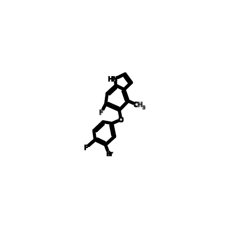 Cc1c(Oc2ccc(F)c(Br)c2)c(F)cc2[nH]ccc12